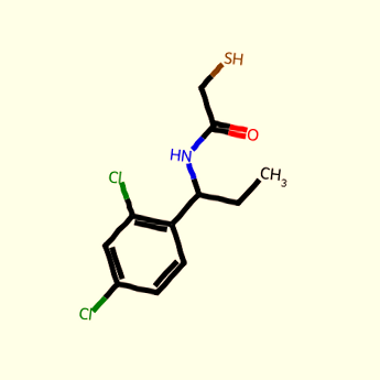 CCC(NC(=O)CS)c1ccc(Cl)cc1Cl